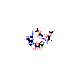 CC(C)OC(=O)[C@H](C)NP(=O)(N[C@@H](C)C(=O)OC(C)C)OC[C@@]1(C(F)F)O[C@@H](n2cnc3c(=O)[nH]c(N)nc32)[C@@H](O)[C@@H]1O